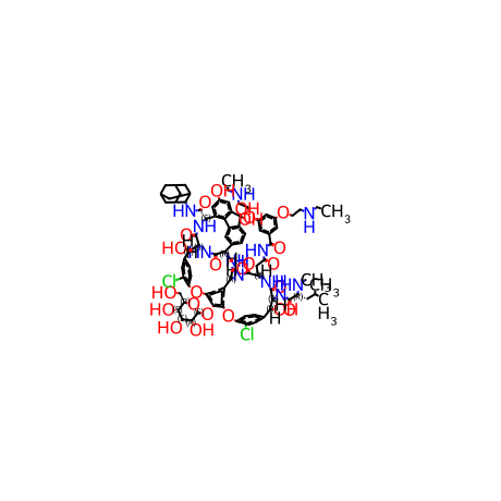 CCNCCOc1cc(OCCNCC)cc(C(=O)NC(=O)C[C@@H]2NC(=O)[C@H](NC(=O)[C@@H](CC(C)C)NC)[C@H](O)c3ccc(c(Cl)c3)Oc3cc4cc(c3O[C@@H]3O[C@H](CO)[C@@H](O)[C@H](O)[C@H]3O)Oc3ccc(cc3Cl)[C@@H](O)[C@@H]3NC(=O)[C@H](NC(=O)[C@@H]4NC2=O)c2ccc4c(c2)-c2c(cc(O)cc2C4(O)O)[C@@H](C(=O)NC2C4CC5CC(C4)CC2C5)NC3=O)c1